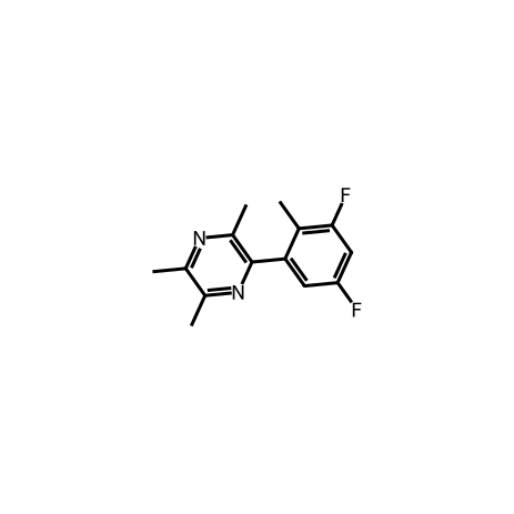 Cc1nc(C)c(-c2cc(F)cc(F)c2C)nc1C